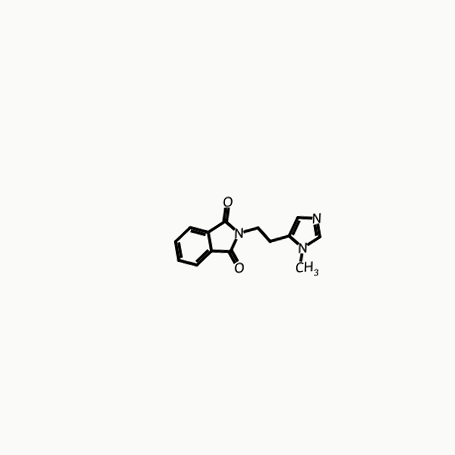 Cn1cncc1CCN1C(=O)c2ccccc2C1=O